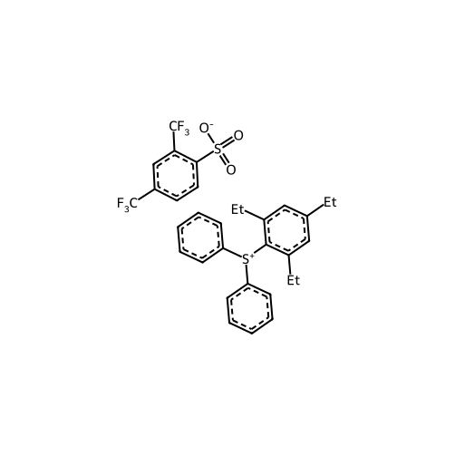 CCc1cc(CC)c([S+](c2ccccc2)c2ccccc2)c(CC)c1.O=S(=O)([O-])c1ccc(C(F)(F)F)cc1C(F)(F)F